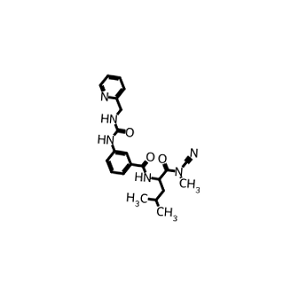 CC(C)CC(NC(=O)c1cccc(NC(=O)NCc2ccccn2)c1)C(=O)N(C)C#N